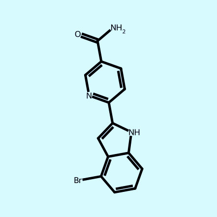 NC(=O)c1ccc(-c2cc3c(Br)cccc3[nH]2)nc1